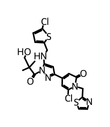 CC(C)(CO)C(=O)n1nc(-c2cc(Cl)n(Cc3nccs3)c(=O)c2)cc1NCc1ccc(Cl)s1